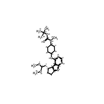 COC(C[C@H]1CCc2sc3ncnc(OC4CCC(N(C)C(=O)OC(C)(C)C)CC4)c3c21)OC